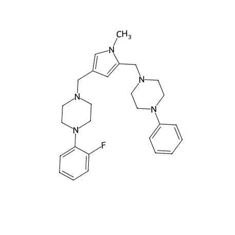 Cn1cc(CN2CCN(c3ccccc3F)CC2)cc1CN1CCN(c2ccccc2)CC1